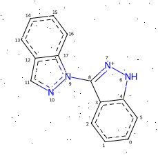 c1ccc2c(c1)N[N+]=C2n1ncc2ccccc21